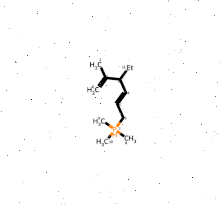 C=C(C)C(/C=C/C[PH](C)(C)C)CC